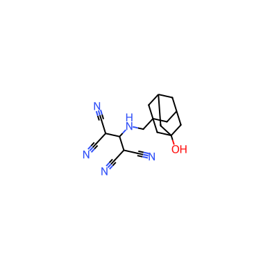 N#CC(C#N)C(NCC12CC3CC(CC(O)(C3)C1)C2)C(C#N)C#N